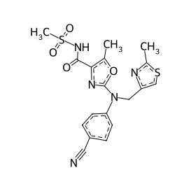 Cc1nc(CN(c2ccc(C#N)cc2)c2nc(C(=O)NS(C)(=O)=O)c(C)o2)cs1